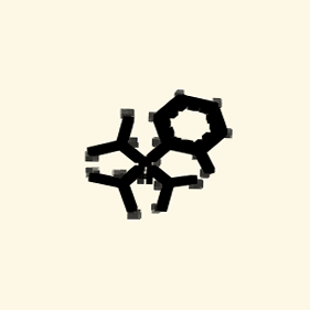 Cc1ccccc1[PH](C(C)C)(C(C)C)C(C)C